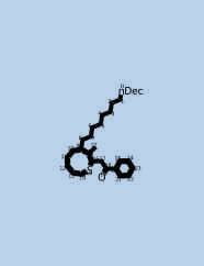 CCCCCCCCCCCCCCCCCCc1cccccsc(CC(=O)c2ccccc2)c1C